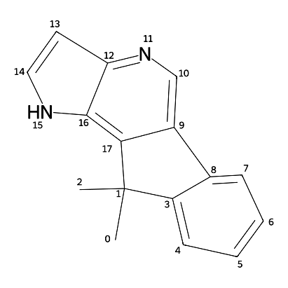 CC1(C)c2ccccc2-c2cnc3cc[nH]c3c21